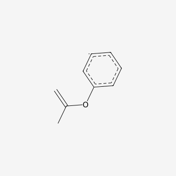 C=C(C)Oc1c[c]ccc1